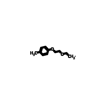 [CH2]COCCOc1ccc(C)cc1